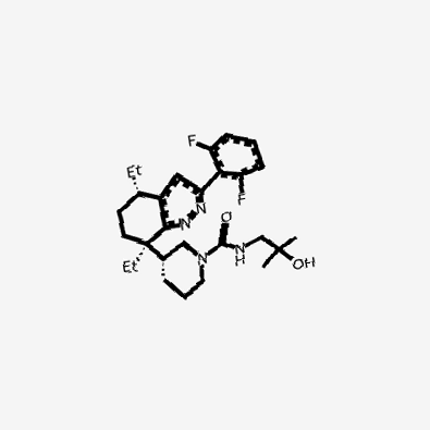 CC[C@H]1CC[C@](CC)([C@H]2CCCN(C(=O)NCC(C)(C)O)C2)c2nnc(-c3c(F)cccc3F)cc21